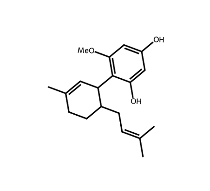 COc1cc(O)cc(O)c1C1C=C(C)CCC1CC=C(C)C